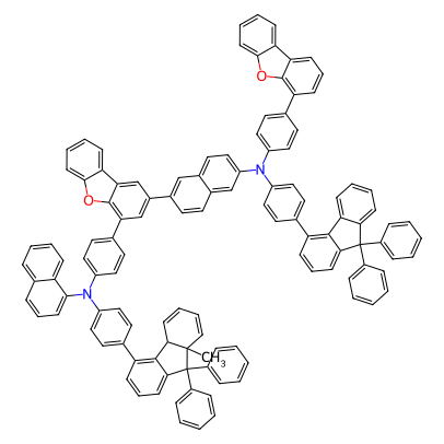 CC12C=CC=CC1c1c(-c3ccc(N(c4ccc(-c5cc(-c6ccc7cc(N(c8ccc(-c9cccc%10c9-c9ccccc9C%10(c9ccccc9)c9ccccc9)cc8)c8ccc(-c9cccc%10c9oc9ccccc9%10)cc8)ccc7c6)cc6c5oc5ccccc56)cc4)c4cccc5ccccc45)cc3)cccc1C2(c1ccccc1)c1ccccc1